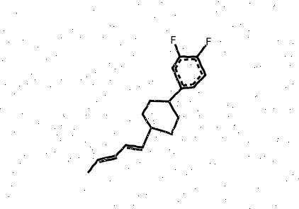 C/C=C/C=C/C1CCC(c2ccc(F)c(F)c2)CC1